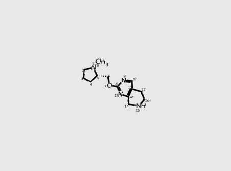 CN1CCC[C@H]1COc1ncc2c(n1)CNCC2